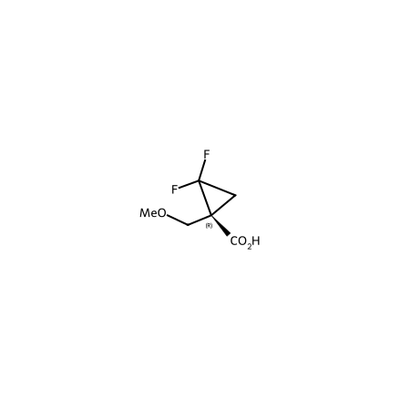 COC[C@@]1(C(=O)O)CC1(F)F